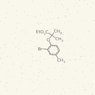 CCOC(=O)C(C)(C)Oc1ccc(C)cc1Br